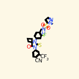 Cn1nccc1S(=O)(=O)NCc1ccc(N2C(=S)N(c3ccc(C#N)c(C(F)(F)F)c3)C(=O)C23CCC3)cc1F